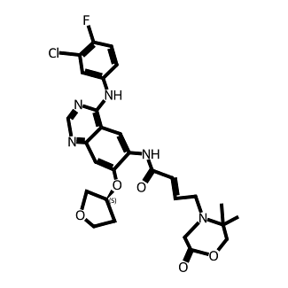 CC1(C)COC(=O)CN1CC=CC(=O)Nc1cc2c(Nc3ccc(F)c(Cl)c3)ncnc2cc1O[C@H]1CCOC1